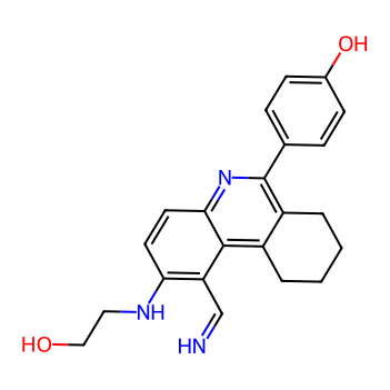 N=Cc1c(NCCO)ccc2nc(-c3ccc(O)cc3)c3c(c12)CCCC3